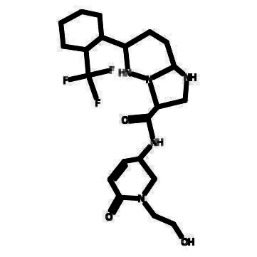 O=C(NC1C=CC(=O)N(CCO)C1)C1CNC2CCC(C3CCCCC3C(F)(F)F)NN21